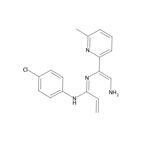 C=C/C(=N\C(=C/N)c1cccc(C)n1)Nc1ccc(Cl)cc1